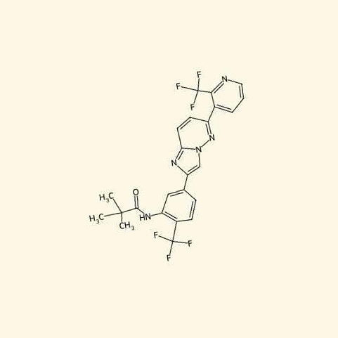 CC(C)(C)C(=O)Nc1cc(-c2cn3nc(-c4cccnc4C(F)(F)F)ccc3n2)ccc1C(F)(F)F